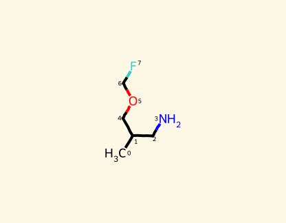 CC(CN)COCF